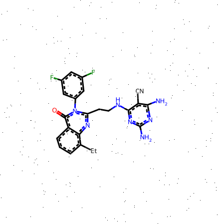 CCc1cccc2c(=O)n(-c3cc(F)cc(F)c3)c(CCNc3nc(N)nc(N)c3C#N)nc12